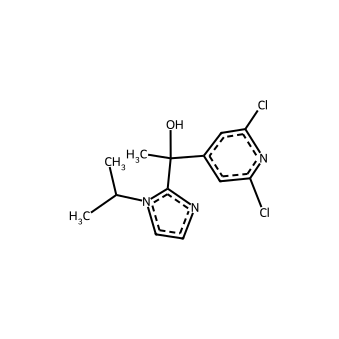 CC(C)n1ccnc1C(C)(O)c1cc(Cl)nc(Cl)c1